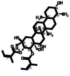 B[C@@H]1C2CC[C@]3(B)C(CC=C4C5C[C@@](B)(S)[C@@H](OC(=O)/C(C)=C\C)[C@H](OC(=O)/C(C)=C\C)[C@]5(CO)[C@H](O)C[C@]43B)[C@@]2(B)CC[C@@H]1O